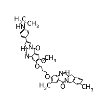 COc1cc2c(cc1OCCCOc1cc3c(cc1C)C(=O)N1Cc4cc(C)ccc4C[C@H]1C=N3)N=C[C@@H]1CC(c3ccc(NC(C)C)cc3)=CN1C2=O